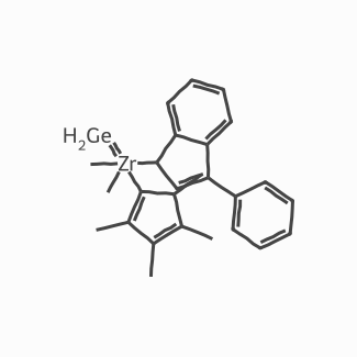 CC1=C(C)C(C)[C]([Zr]([CH3])([CH3])(=[GeH2])[CH]2C=C(c3ccccc3)c3ccccc32)=C1C